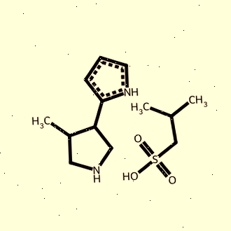 CC(C)CS(=O)(=O)O.CC1CNCC1c1ccc[nH]1